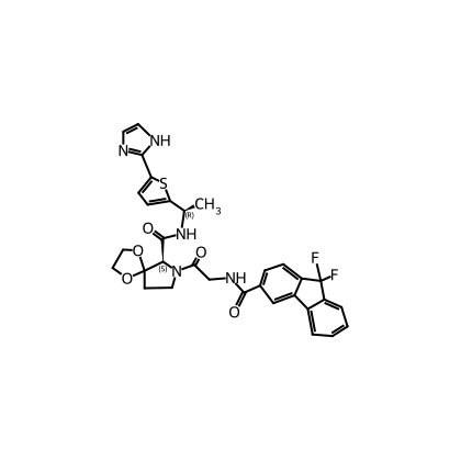 C[C@@H](NC(=O)[C@H]1N(C(=O)CNC(=O)c2ccc3c(c2)-c2ccccc2C3(F)F)CCC12OCCO2)c1ccc(-c2ncc[nH]2)s1